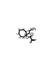 C=C(C)C(=O)OC1(CCC(C)C)CCCCCC1